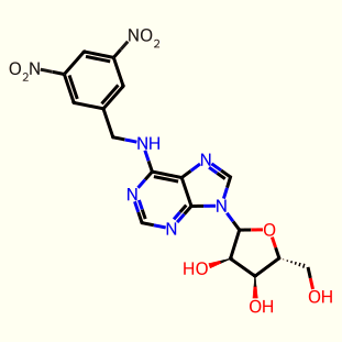 O=[N+]([O-])c1cc(CNc2ncnc3c2ncn3C2O[C@H](CO)[C@@H](O)[C@H]2O)cc([N+](=O)[O-])c1